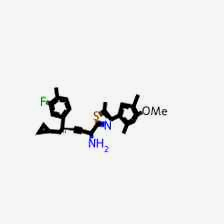 COc1cc(C)c(-c2nc(C(N)C#C[C@@H](CC3CC3)c3ccc(C)c(F)c3)sc2C)cc1C